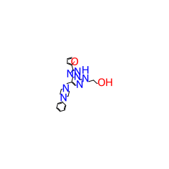 OCCCNc1ncc(CN2CCN(c3ccccc3)CC2)c2nc(-c3ccco3)nn12